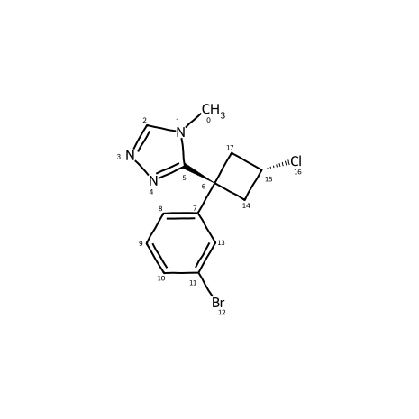 Cn1cnnc1[C@]1(c2cccc(Br)c2)C[C@@H](Cl)C1